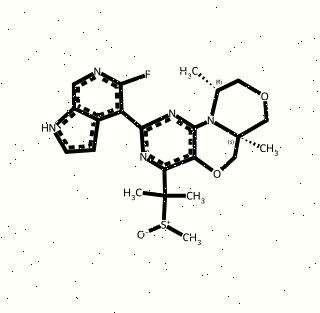 C[C@@H]1COC[C@@]2(C)COc3c(nc(-c4c(F)ncc5[nH]ccc45)nc3C(C)(C)[S+](C)[O-])N12